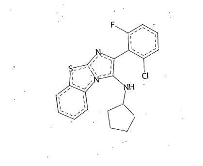 Fc1cccc(Cl)c1-c1nc2sc3ccccc3n2c1NC1CCCC1